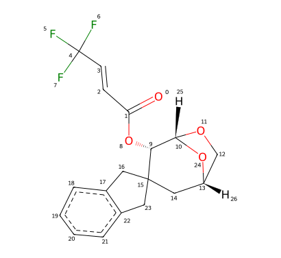 O=C(/C=C/C(F)(F)F)O[C@@H]1[C@@H]2OC[C@H](CC13Cc1ccccc1C3)O2